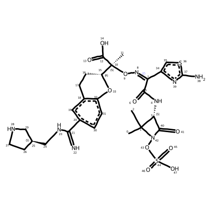 CC1(C)[C@H](NC(=O)/C(=N\O[C@](C)(C(=O)O)[C@H]2CCc3cc(C(=N)NC[C@H]4CCNC4)ccc3O2)c2csc(N)n2)C(=O)N1OS(=O)(=O)O